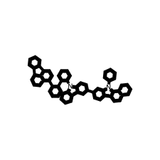 c1ccc(-n2c3cc(-c4ccc5c(c4)c4ccccc4n5-c4ccccc4-c4ccccc4-c4ccc5c6c(cccc46)-c4ccccc4-5)ccc3c3ccc4ccccc4c32)cc1